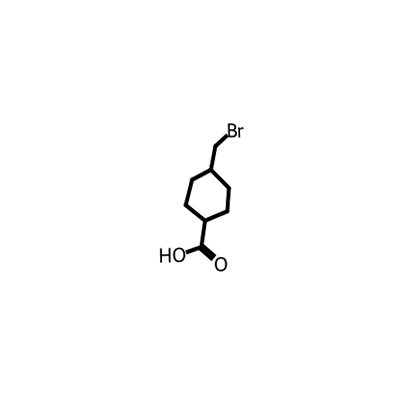 O=C(O)C1CCC(CBr)CC1